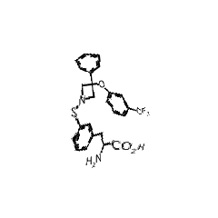 NC(Cc1cccc(SN2CC(Oc3cccc(C(F)(F)F)c3)(c3ccccc3)C2)c1)C(=O)O